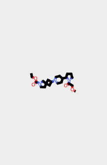 CCOC(=O)N1CCC2(CC(N3CCC(C4CCCN4C(=O)COC)CC3)C2)C1